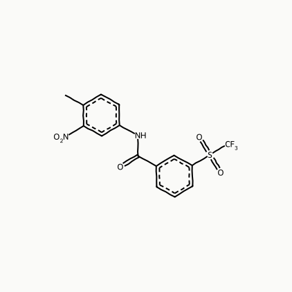 Cc1ccc(NC(=O)c2cccc(S(=O)(=O)C(F)(F)F)c2)cc1[N+](=O)[O-]